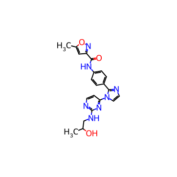 Cc1cc(C(=O)Nc2ccc(-c3nccn3-c3ccnc(NCC(C)O)n3)cc2)no1